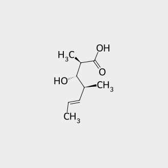 C/C=C/[C@H](C)[C@H](O)[C@@H](C)C(=O)O